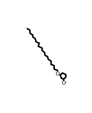 [CH2]CCCCCCCCCCCCCCCCCCCOC1CCCC([O])C1